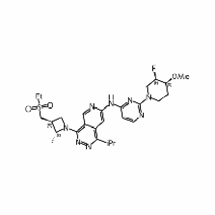 CCS(=O)(=O)C[C@H]1CN(c2nnc(C(C)C)c3cc(Nc4ccnc(N5CC[C@H](OC)[C@H](F)C5)n4)ncc23)[C@@H]1C